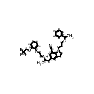 C=C(OCCCN1CCc2cc(C[C@@H](C)NCCOC3=CCCC=C3OCC(F)(F)F)cc(C#N)c21)c1ccccc1